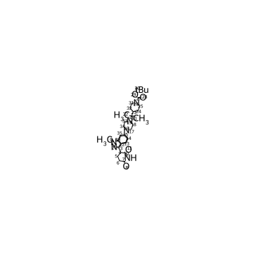 Cn1nc(C2CCC(=O)NC2=O)c2ccc(N3CCN(C(C)(C)C4CCN(C(=O)OC(C)(C)C)CC4)CC3)cc21